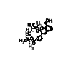 CC(C)(C)OC(=O)C(Cc1cccc(CO)c1)[C@H]1CCN(C(=O)OC(C)(C)C)C1